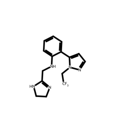 FC(F)(F)Cn1nccc1-c1ccccc1NCC1=NCCN1